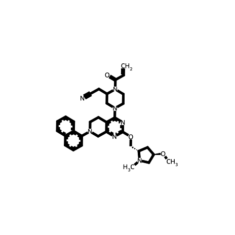 C=CC(=O)N1CCN(c2nc(OC[C@@H]3C[C@@H](OC)CN3C)nc3c2CCN(c2cccc4ccccc24)C3)CC1CC#N